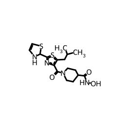 CC(C)Cc1sc(C2NC=CS2)nc1C(=O)N1CCC(C(=O)NO)CC1